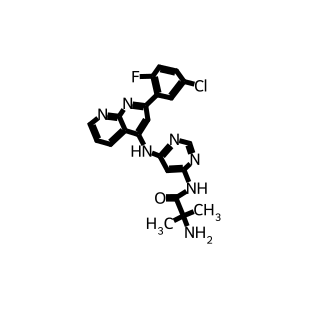 CC(C)(N)C(=O)Nc1cc(Nc2cc(-c3cc(Cl)ccc3F)nc3ncccc23)ncn1